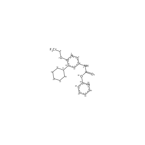 O=C(Nc1cnc(OCC(F)(F)F)c(C2CCCCC2)c1)Oc1ccccn1